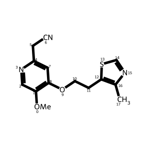 COc1cnc(CC#N)cc1OCCc1scnc1C